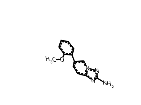 COc1ccccc1-c1ccc2nc(N)nn2c1